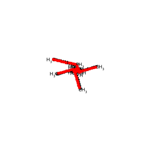 CCCCCCCCCCCCCCCCCCCCCC[N+](C)(C)CCC[Si](OCC(CO)(CO)NC(=O)CCCCCCCCCCCCCCC)(OCC(CO)(CO)NC(=O)CCCCCCCCCCCCCCC)OCC(CO)(CO)NC(=O)CCCCCCCCCCCCCCC